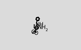 COC(=O)c1cnc(NCc2ccccc2)c(N)c1